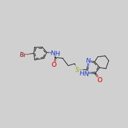 O=C(CCCSc1nc2c(c(=O)[nH]1)CCCC2)Nc1ccc(Br)cc1